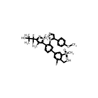 Cc1c(C(F)(F)C(C)(C)O)nn(C)c1-c1ccc(-c2cc(F)c(CO)c(S(C)(=O)=O)c2)cc1-n1nncc1-c1ccc(OC(F)(F)F)cc1